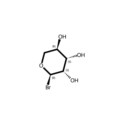 O[C@@H]1[C@H](O)[C@@H](Br)OC[C@H]1O